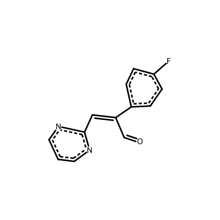 O=CC(=Cc1ncccn1)c1ccc(F)cc1